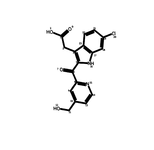 O=C(O)Cc1c(C(=O)c2cc(CO)ccn2)[nH]c2cc(Cl)ccc12